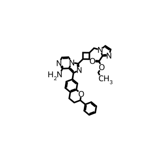 CCOC(=O)c1nccn1CC1CC(c2nc(-c3ccc4c(c3)OC(c3ccccc3)CC4)c3c(N)nccn23)C1